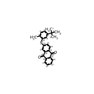 Cc1ccc(C(C)(C)C)cc1Sc1ccc2c(c1)C(=O)c1ccccc1C2=O